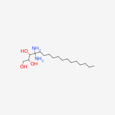 CCCCCCCCCCCCCC(N)(N)C(O)C(O)CO